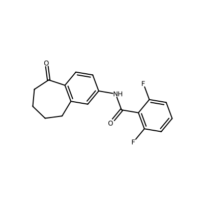 O=C1CCCCc2cc(NC(=O)c3c(F)cccc3F)ccc21